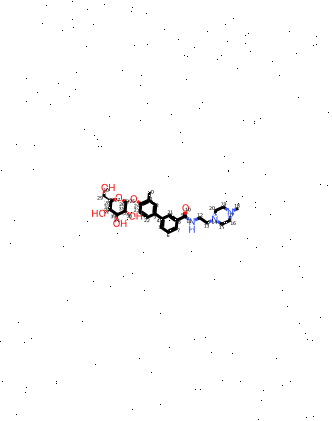 Cc1cc(-c2cccc(C(=O)NCCN3CCN(C)CC3)c2)ccc1O[C@H]1O[C@H](CO)[C@@H](O)[C@H](O)[C@@H]1O